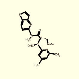 CNC[C@@H](C(=O)N(C)c1ccc2sccc2n1)N(C=O)c1cc(C(F)(F)F)cc(C)n1